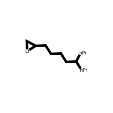 CCCC(CCC)CCCCC1CO1